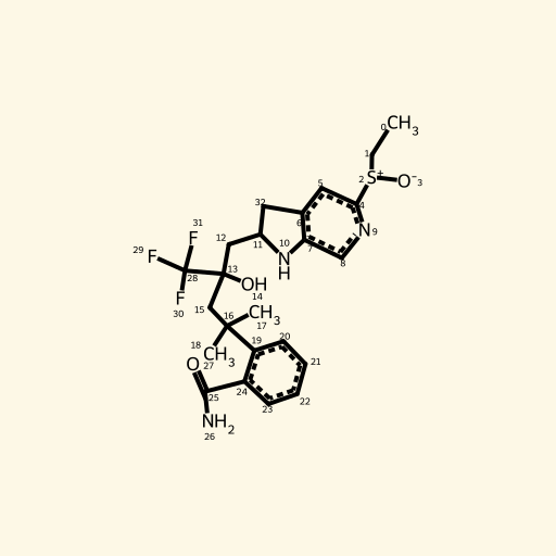 CC[S+]([O-])c1cc2c(cn1)NC(CC(O)(CC(C)(C)c1ccccc1C(N)=O)C(F)(F)F)C2